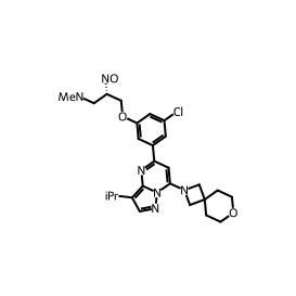 CNC[C@@H](COc1cc(Cl)cc(-c2cc(N3CC4(CCOCC4)C3)n3ncc(C(C)C)c3n2)c1)N=O